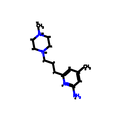 Cc1cc(N)nc(CCCN2CCN(C)CC2)c1